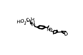 C/C(=N\OCc1ccc(-c2ccoc2)cc1)c1ccc(CNCCC(=O)O)cc1